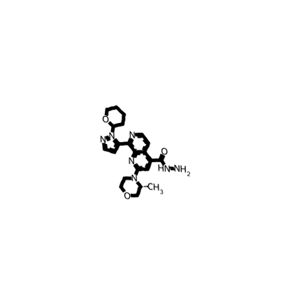 C[C@@H]1COCCN1c1cc(C(=O)NN)c2ccnc(-c3ccnn3C3CCCCO3)c2n1